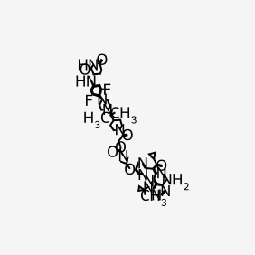 CC(C)(C1CCN(C(=O)COC(=O)N2CC(Oc3cnc(-c4c(-c5nn(C6(C)CC6)c6ncnc(N)c56)noc4C4CC4)nc3)C2)CC1)N1CCN(c2c(F)cc(NC3CCC(=O)NC3=O)cc2F)CC1